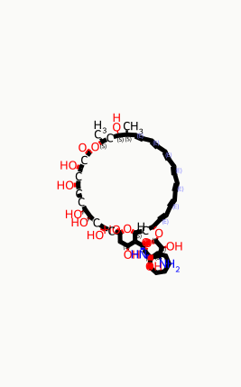 C[C@H]1C[C@H](O)[C@@H](C)/C=C/C=C/C=C/C=C/C=C/C=C/C=C/C(O[C@@H]2OC[C@@H](O)[C@H](N)[C@@H]2O)C[C@@H]2OC(O)(CC(O)C[C@@H](O)[C@H](O)CCC(O)CC(O)CC(=O)O1)C[C@H](O)C2C(=O)NC1CCCCCC1